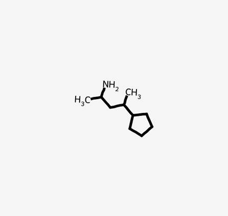 CC(N)CC(C)C1CCCC1